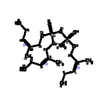 C/C(=C/CO)COP(N)(=O)OP(=O)(OC/C(C)=C\CO)OC/C(C)=C\CO